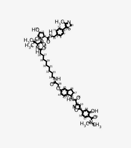 Cc1ncsc1-c1ccc(CNC(=O)[C@@H]2C[C@@H](O)CN2C(=O)C(NC(=O)CCCCCCCCCNC(=O)COc2ccc3c(c2)CCC3NC(=O)c2cc(-c3ccc(C(=O)N(C)C)c(O)c3)on2)C(C)(C)C)cc1